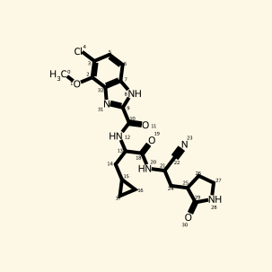 COc1c(Cl)ccc2[nH]c(C(=O)NC(CC3CC3)C(=O)NC(C#N)CC3CCNC3=O)nc12